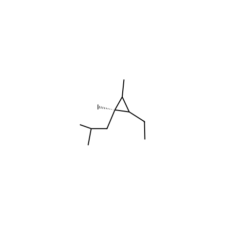 CCC1C(C)[C@]1(I)CC(C)C